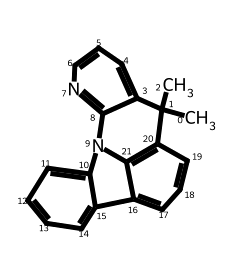 CC1(C)c2cccnc2-n2c3ccccc3c3cccc1c32